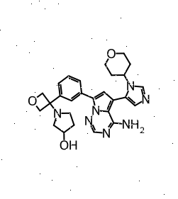 Nc1ncnn2c(-c3cccc(C4(N5CCC(O)C5)COC4)c3)cc(-c3cncn3C3CCOCC3)c12